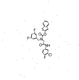 O=C(CN(Cc1cc(F)cc(F)c1)C(=O)Oc1cc2ccccc2s1)Nc1ccc(F)c(Cl)c1